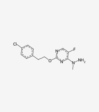 CN(N)c1nc(OCCc2ccc(Cl)cc2)ncc1F